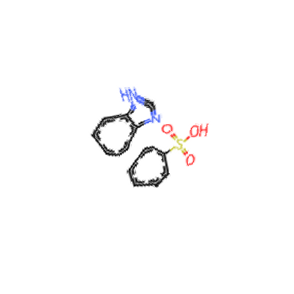 O=S(=O)(O)c1ccccc1.c1ccc2[nH]cnc2c1